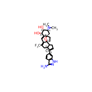 CN(C)[C@H]1C[C@@]23CC[C@@]4(O2)C(=C(C(F)(F)F)C[C@]2(C)C(c5ccc6c(N)n[nH]c6c5)=CCC24)C=C3[C@@H](O)[C@@H]1O